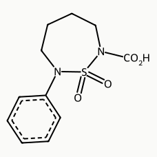 O=C(O)N1CCCCN(c2ccccc2)S1(=O)=O